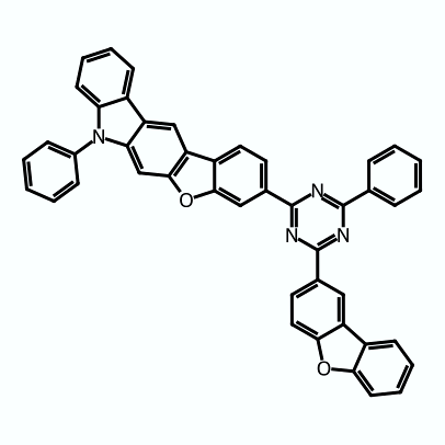 c1ccc(-c2nc(-c3ccc4c(c3)oc3cc5c(cc34)c3ccccc3n5-c3ccccc3)nc(-c3ccc4oc5ccccc5c4c3)n2)cc1